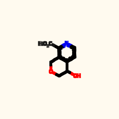 CCOC(=O)c1nccc2c1COCC2O